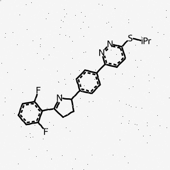 CC(C)Sc1ccc(-c2ccc(C3CCC(c4c(F)cccc4F)=N3)cc2)nn1